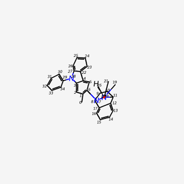 Cc1cc2c(cc1N1C3CCC(c4ccccc43)N(C)[C@@H]1C)c1ccccc1n2-c1ccccc1